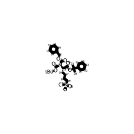 CC(C)(C)OC(=O)N(C(=O)OCc1ccccc1)[C@@H](CC/C=C/S(=O)(=O)Cl)C(=O)OC(C)(C)c1ccccc1